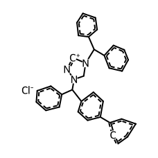 [C+]1=NN(C(c2ccccc2)c2ccc(-c3ccccc3)cc2)CN1C(c1ccccc1)c1ccccc1.[Cl-]